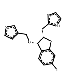 Fc1ccc2c(c1)S[C@@H](Cc1ncc[nH]1)[C@H]2OCc1ccsc1